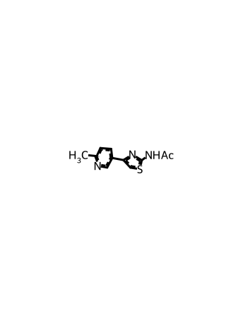 CC(=O)Nc1nc(-c2ccc(C)nc2)cs1